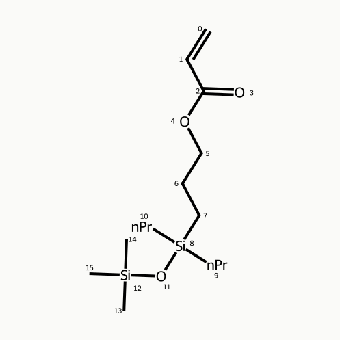 C=CC(=O)OCCC[Si](CCC)(CCC)O[Si](C)(C)C